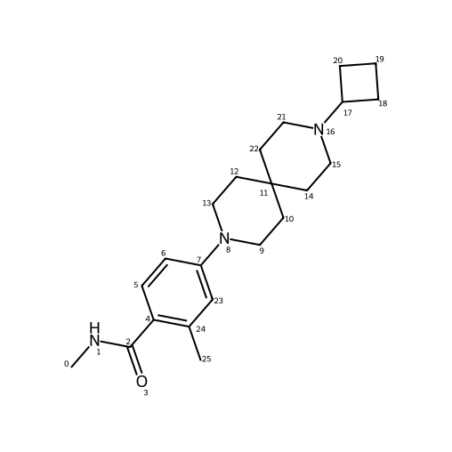 CNC(=O)c1ccc(N2CCC3(CC2)CCN(C2CCC2)CC3)cc1C